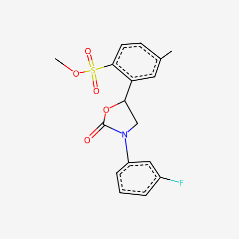 COS(=O)(=O)c1ccc(C)cc1C1CN(c2cccc(F)c2)C(=O)O1